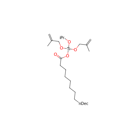 C=C(C)C[O][Ti]([O]CC(=C)C)([O]C(=O)CCCCCCCCCCCCCCCCC)[O]C(C)C